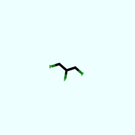 F[CH]C(F)CF